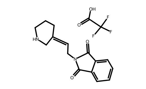 O=C(O)C(F)(F)F.O=C1c2ccccc2C(=O)N1C/C=C1/CCCNC1